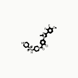 COc1ccc(-c2cn(-c3ccc(C(=O)N4CCC(NS(=O)(=O)C5CCNCC5)CC4)c(Cl)c3)c(C)n2)c(F)c1F